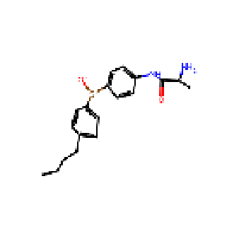 CCCCc1ccc([S+]([O-])c2ccc(NC(=O)C(C)N)cc2)cc1